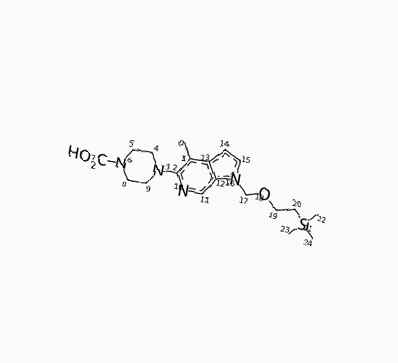 Cc1c(N2CCN(C(=O)O)CC2)ncc2c1ccn2COCC[Si](C)(C)C